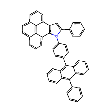 c1ccc(-c2c3ccccc3c(-c3ccc(-n4c(-c5ccccc5)cc5c6cccc7ccc8cccc(c8c76)c54)cc3)c3ccccc23)cc1